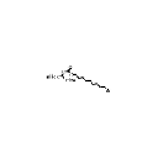 CCCCCCC(CCCCCC)OC(=O)OCCCCCCCCCBr